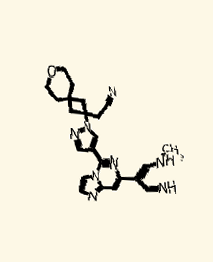 CN/C=C(\C=N)c1cc2nccn2c(-c2cnn(C3(CC#N)CC4(CCOCC4)C3)c2)n1